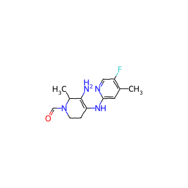 Cc1cc(NC2=C(N)C(C)N(C=O)CC2)ncc1F